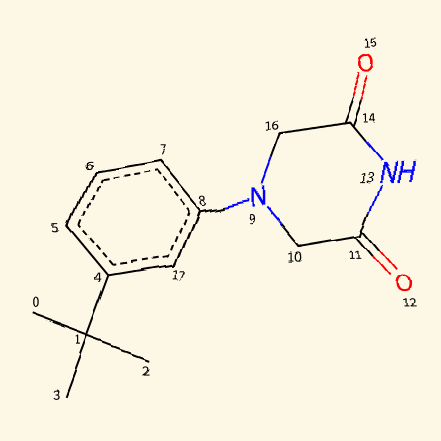 CC(C)(C)c1cccc(N2CC(=O)NC(=O)C2)c1